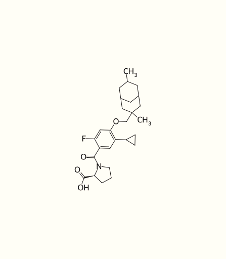 CC1CC2CC(C1)CC(C)(COc1cc(F)c(C(=O)N3CCC[C@H]3C(=O)O)cc1C1CC1)C2